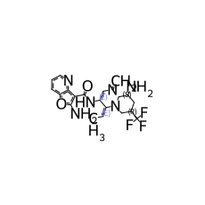 C=N/C=C(NC(=O)c1c(N)oc2cccnc12)\C(=C/C)N1C[C@@H](N)C[C@@H](C(F)(F)F)C1